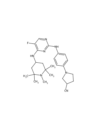 CN1C(C)(C)CC(Nc2nc(Nc3ccc(N4CCC(C#N)C4)cc3)ncc2F)CC1(C)C